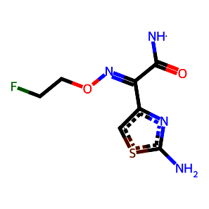 [NH]C(=O)/C(=N/OCCF)c1csc(N)n1